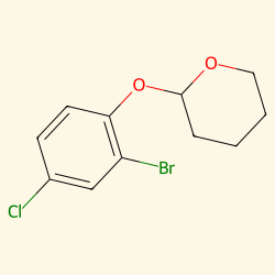 Clc1ccc(OC2CCCCO2)c(Br)c1